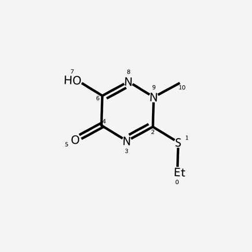 [CH2]CSc1nc(=O)c(O)nn1C